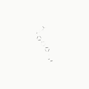 C=C(C)C(=O)OCOc1ccc(C2CCC(c3ccc(OP(C)COC(=O)C(=C)C)cc3)CC2)cc1